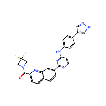 O=C(c1ccc2ccc(-c3nccc(Nc4ccc(-c5cn[nH]c5)cc4)n3)cc2n1)N1CC(F)(F)C1